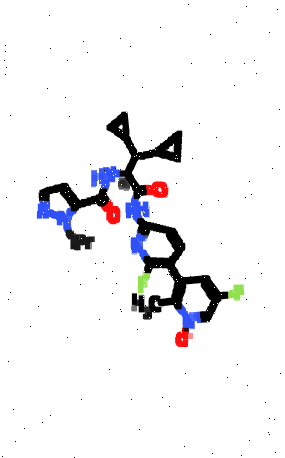 Cc1c(-c2ccc(NC(=O)[C@@H](NC(=O)c3ccnn3C(C)C)C(C3CC3)C3CC3)nc2F)cc(F)c[n+]1[O-]